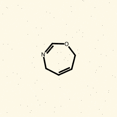 C1=CCOC=NC1